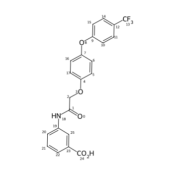 O=C(COc1ccc(Oc2ccc(C(F)(F)F)cc2)cc1)Nc1cccc(C(=O)O)c1